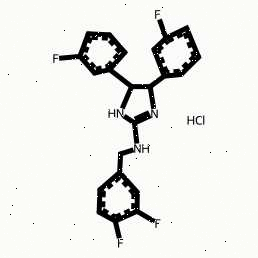 Cl.Fc1cccc(C2N=C(NCc3ccc(F)c(F)c3)NC2c2cccc(F)c2)c1